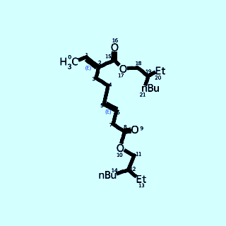 C/C=C(\CC/C=C/CC(=O)OCC(CC)CCCC)C(=O)OCC(CC)CCCC